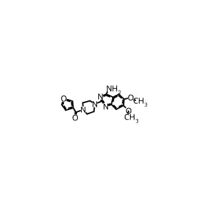 COc1cc2nc(N3CCN(C(=O)c4ccoc4)CC3)nc(N)c2cc1OC